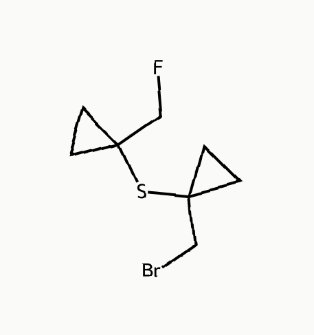 FCC1(SC2(CBr)CC2)CC1